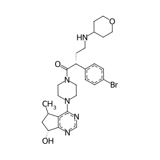 CC1C[C@@H](O)c2ncnc(N3CCN(C(=O)[C@H](CCNC4CCOCC4)c4ccc(Br)cc4)CC3)c21